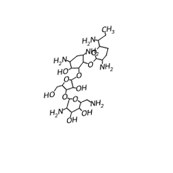 CCC(N)C1CCC(N)C(OC2C(N)CC(N)C(O)C2OC2OC(CO)C(OC3OC(CN)C(O)C(O)C3N)C2O)O1